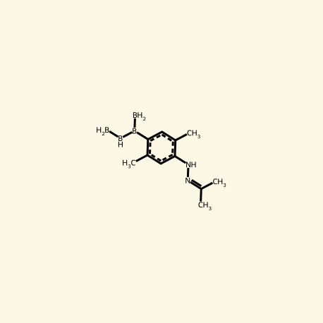 BBB(B)c1cc(C)c(NN=C(C)C)cc1C